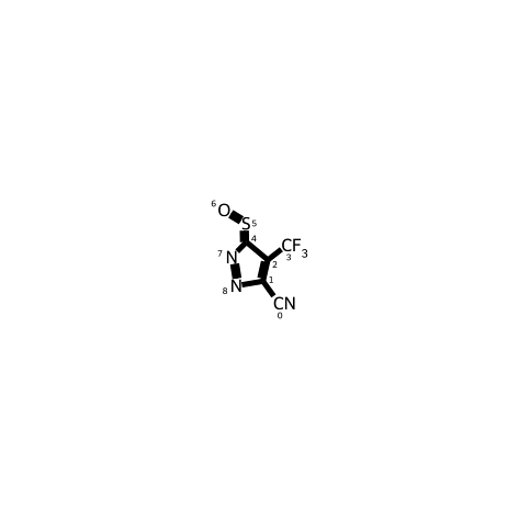 N#CC1=C(C(F)(F)F)C(=S=O)N=N1